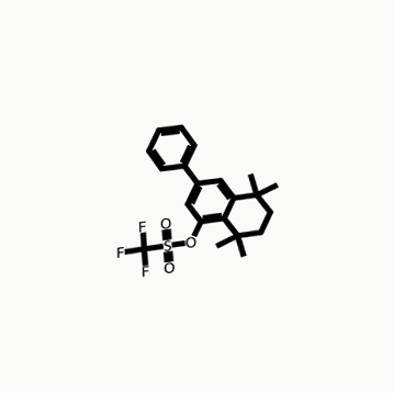 CC1(C)CCC(C)(C)c2c(OS(=O)(=O)C(F)(F)F)cc(-c3ccccc3)cc21